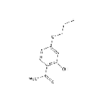 COC(=O)c1ccc(OCCF)cc1O